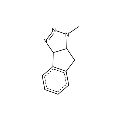 CN1N=NC2c3ccccc3CC21